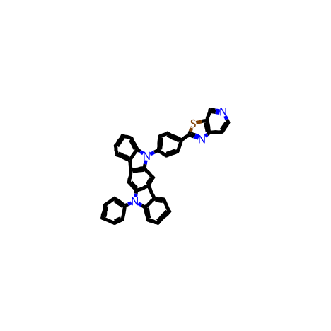 c1ccc(-n2c3ccccc3c3cc4c(cc32)c2ccccc2n4-c2ccc(-c3nc4ccncc4s3)cc2)cc1